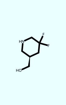 OC[C@H]1CNCC(F)(F)C1